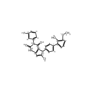 COc1cccc(-c2ccc(-n3c(Cl)cc4[nH]c(=O)n(-c5cccc(F)c5)c(=O)c43)cc2)c1O